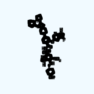 CC(C)c1ccccc1[C@@H]1CCCN1C1CC2(CCN(c3ccc(C(=O)NS(=O)(=O)c4cc([N+](=O)[O-])c(NC[C@H]5CC[C@](C)(O)CC5)c5[nH]cnc45)c(Oc4cnc5[nH]cc(F)c5c4)c3)CC2)C1